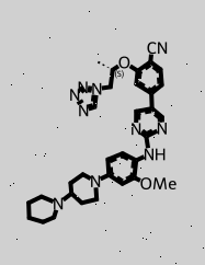 COc1cc(N2CCC(N3CCCCC3)CC2)ccc1Nc1ncc(-c2ccc(C#N)c(O[C@@H](C)Cn3cnnn3)c2)cn1